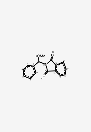 COC(c1ccccc1)N1C(=O)c2ccccc2C1=O